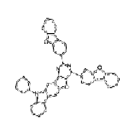 c1ccc(-n2c3ccccc3c3cc4oc5c(-c6ccc7c(c6)oc6ccccc67)nc(-c6ccc7c(c6)oc6ccccc67)nc5c4cc32)cc1